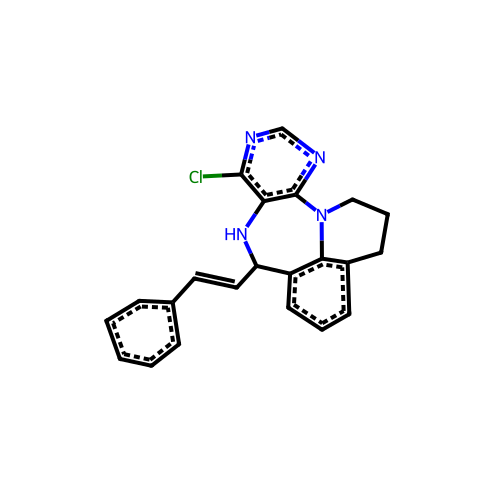 Clc1ncnc2c1NC(C=Cc1ccccc1)c1cccc3c1N2CCC3